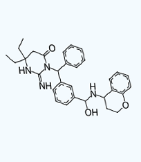 CCC1(CC)CC(=O)N(C(c2ccccc2)c2cccc(C(O)NC3CCOc4ccccc43)c2)C(=N)N1